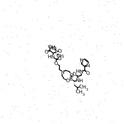 CC(C)C[C@@H](NC(=O)CNC(=O)c1cnccn1)B1OCCN(CCOC(=O)NC(C(=O)O)P(=O)(O)O)CCO1